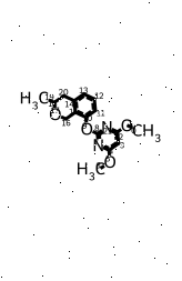 COc1cc(OC)nc(Oc2cccc3c2COC(C)C3)n1